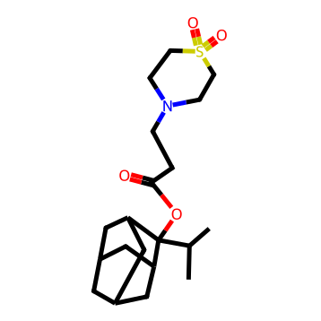 CC(C)C1(OC(=O)CCN2CCS(=O)(=O)CC2)C2CC3CC(C2)CC1C3